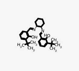 CC(C)(C)c1cccc(C=N[C@@H]2CCCC[C@H]2N=Cc2cccc(C(C)(C)C)c2O)c1O